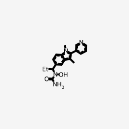 CCC(c1ccc2c(c1)c(C)c(-c1cccnc1)n2C)N(O)C(N)=O